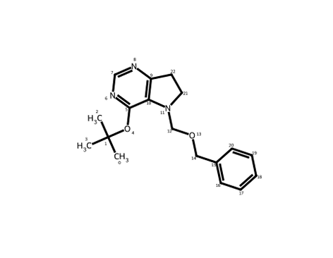 CC(C)(C)Oc1ncnc2c1N(COCc1ccccc1)CC2